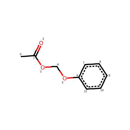 CC(=O)OCOc1ccccc1